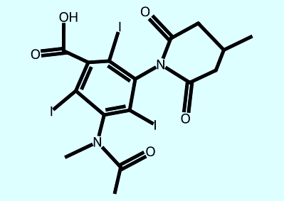 CC(=O)N(C)c1c(I)c(C(=O)O)c(I)c(N2C(=O)CC(C)CC2=O)c1I